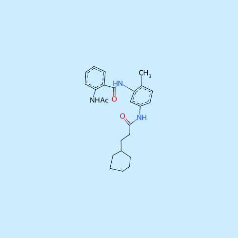 CC(=O)Nc1ccccc1C(=O)Nc1cc(NC(=O)CCC2CCCCC2)ccc1C